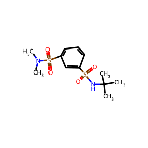 CN(C)S(=O)(=O)c1cccc(S(=O)(=O)NC(C)(C)C)c1